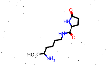 NC(CCCCNC(=O)[C@@H]1CCC(=O)N1)C(=O)O